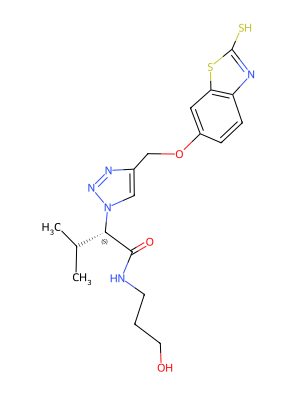 CC(C)[C@@H](C(=O)NCCCO)n1cc(COc2ccc3nc(S)sc3c2)nn1